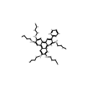 CCCCOc1cc2c3cc(OCCCC)c(OCCCC)cc3c3cc(-c4ccccn4)c(OCCCC)cc3c2cc1OCCCC